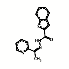 CC(=NNC(=O)c1cc2ccccc2s1)c1ccccn1